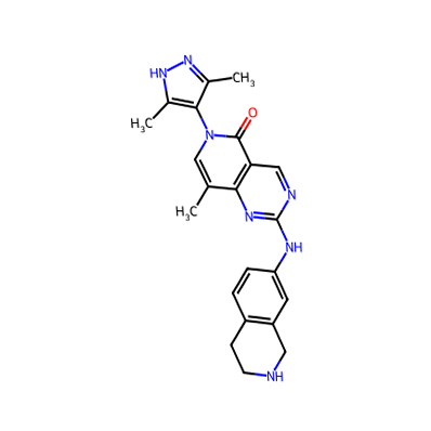 Cc1n[nH]c(C)c1-n1cc(C)c2nc(Nc3ccc4c(c3)CNCC4)ncc2c1=O